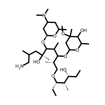 CC[C@@H](O)[C@H](C)[C@H](CC)OC[C@H](C)C(OC1CC(C)(OC)C(O)C(C)O1)C(C)C(O[C@H]1CC(N(C)C)CC(C)O1)[C@@](C)(O)CC(C)CN